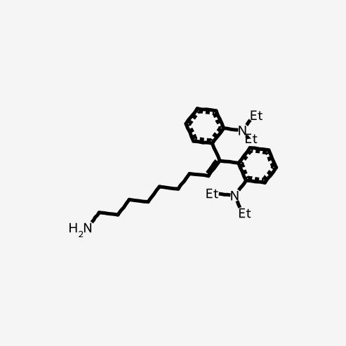 CCN(CC)c1ccccc1C(=CCCCCCCCN)c1ccccc1N(CC)CC